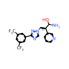 NC(O)/C(=C/n1cnc(-c2cc(C(F)(F)F)cc(C(F)(F)F)c2)n1)c1cccnc1